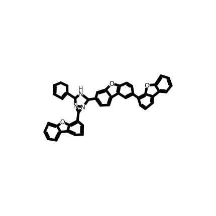 C1=CCCC(C2NC(c3ccc4c(c3)oc3ccc(-c5cccc6c5oc5ccccc56)cc34)N3C(c4cccc5c4oc4ccccc45)N23)=C1